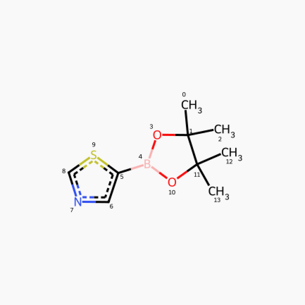 CC1(C)OB(c2cncs2)OC1(C)C